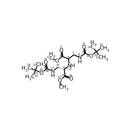 COC(=O)C(CNC(=O)OC(C)(C)C)N[C@@H](CNC(=O)OC(C)(C)C)C(=O)OC